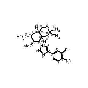 CO[C@@H]1[C@@H](n2cc(-c3ccc(C#N)c(F)c3)nn2)[C@H]2OC(C)(C)OC[C@H]2O[C@H]1C(=O)O